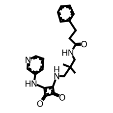 CC(C)(CNC(=O)CCc1ccccc1)CNc1c(Nc2cccnc2)c(=O)c1=O